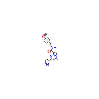 CCCOC1CCC(CCNC(=O)c2ccn3c(C)cc(-c4cccnc4)nc23)CC1